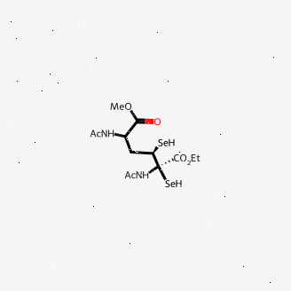 CCOC(=O)[C@]([SeH])(NC(C)=O)[C@H]([SeH])CC(NC(C)=O)C(=O)OC